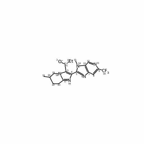 CC[S+]([O-])c1c(-c2nc3cc(C(F)(F)F)ncc3n2C)nc2n1CC(C)CC2